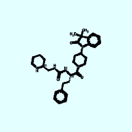 CC1(C)C(=O)N(C2CCN(C(=O)[C@H](CCc3ccccc3)NC(=O)NC[C@@H]3CCCCN3)CC2)c2ccccc21